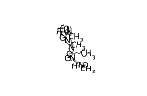 CCCCC1CN(CC2C3CN(C(C)=O)C[C@@H]32)C(=O)OC12CCN(C1(C)CCN(C(=O)c3c(C)noc3C(F)(F)F)CC1)CC2